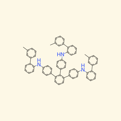 Cc1cccc(-c2ccccc2Nc2ccc(-c3cccc(-c4ccc(Nc5ccccc5-c5cccc(C)c5)cc4)c3-c3ccc(Nc4ccccc4-c4cccc(C)c4)cc3)cc2)c1